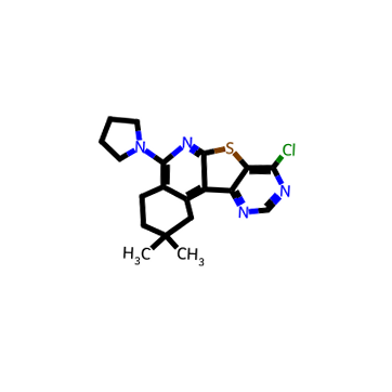 CC1(C)CCc2c(N3CCCC3)nc3sc4c(Cl)ncnc4c3c2C1